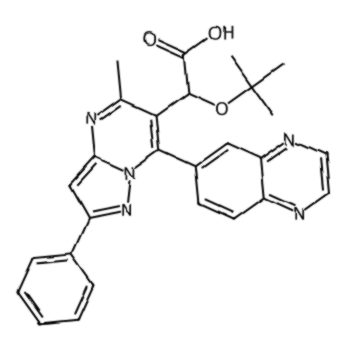 Cc1nc2cc(-c3ccccc3)nn2c(-c2ccc3nccnc3c2)c1C(OC(C)(C)C)C(=O)O